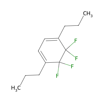 CCCC1=CC=C(CCC)C(F)(F)C1(F)F